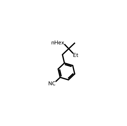 CCCCCCC(C)(CC)Cc1cccc(C#N)c1